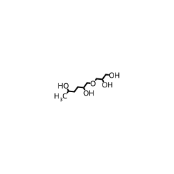 CC(O)CCC(O)COCC(O)CO